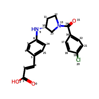 O=C(O)C=Cc1ccc(N[C@@H]2CCN(C(=O)c3ccc(Cl)cc3)C2)cc1